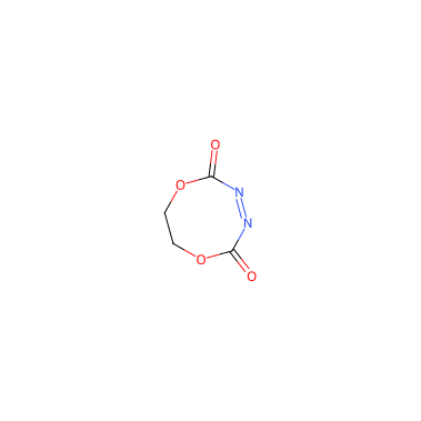 O=C1N=NC(=O)OCCO1